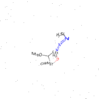 CCOCC.COC(C)OC.[N-]=[N+]=N[SiH3]